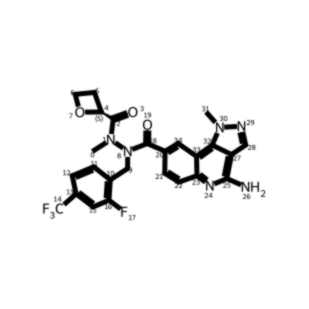 CN(C(=O)[C@@H]1CCO1)N(Cc1ccc(C(F)(F)F)cc1F)C(=O)c1ccc2nc(N)c3cnn(C)c3c2c1